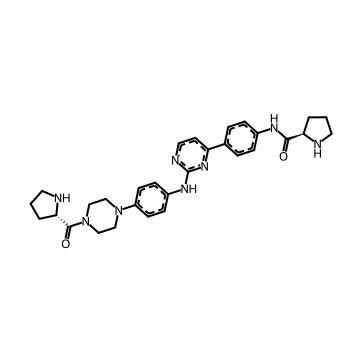 O=C(Nc1ccc(-c2ccnc(Nc3ccc(N4CCN(C(=O)[C@@H]5CCCN5)CC4)cc3)n2)cc1)[C@H]1CCCN1